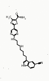 Cc1nc(-c2cnc(NCCNCCCCc3c[nH]c4ccc(C#N)cc34)nc2)sc1C(N)=O